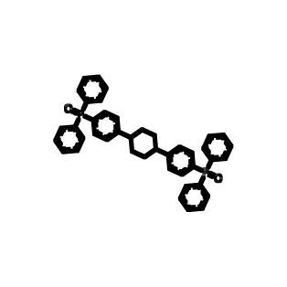 O=P(c1ccccc1)(c1ccccc1)c1ccc(C2CCC(c3ccc(P(=O)(c4ccccc4)c4ccccc4)cc3)CC2)cc1